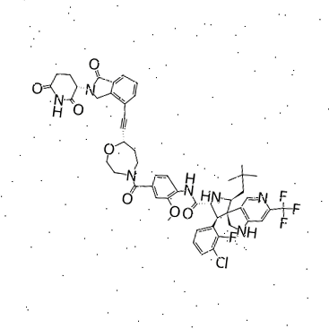 COc1cc(C(=O)N2CCO[C@H](C#Cc3cccc4c3CN([C@H]3CCC(=O)NC3=O)C4=O)CC2)ccc1NC(=O)[C@@H]1N[C@@H](CC(C)(C)C)[C@@]2(CNc3cc(C(F)(F)F)ncc32)[C@H]1c1cccc(Cl)c1F